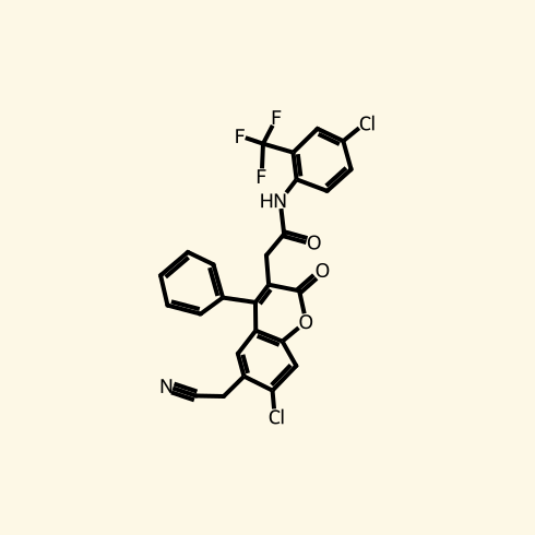 N#CCc1cc2c(-c3ccccc3)c(CC(=O)Nc3ccc(Cl)cc3C(F)(F)F)c(=O)oc2cc1Cl